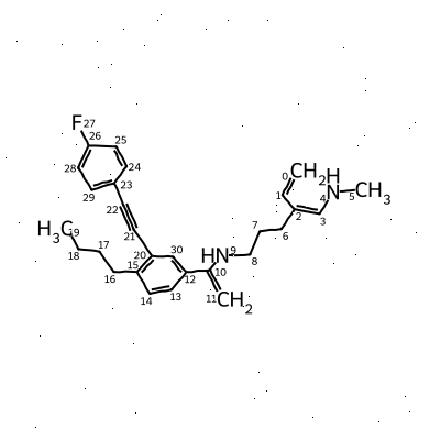 C=C/C(=C\NC)CCCNC(=C)c1ccc(CCCC)c(C#Cc2ccc(F)cc2)c1